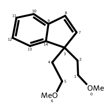 COCCC1(CCOC)C=Cc2ccccc21